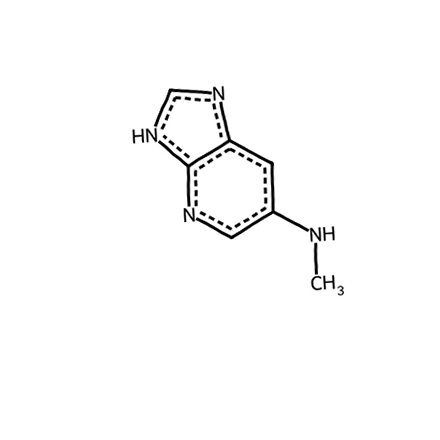 CNc1cnc2[nH]cnc2c1